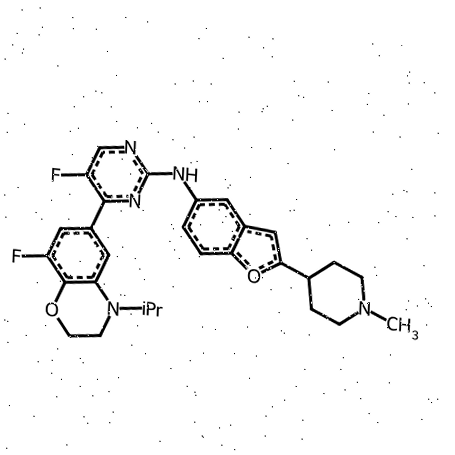 CC(C)N1CCOc2c(F)cc(-c3nc(Nc4ccc5oc(C6CCN(C)CC6)cc5c4)ncc3F)cc21